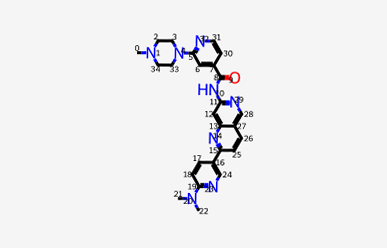 CN1CCN(c2cc(C(=O)Nc3cc4nc(-c5ccc(N(C)C)nc5)ccc4cn3)ccn2)CC1